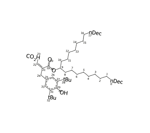 CCCCCCCCCCCCCCCCCCC(CCCCCCCCCCCCCCCCC)OC(=O)C(=CC(=O)O)Cc1cc(C(C)(C)C)c(O)c(C(C)(C)C)c1